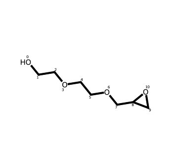 OCCOCCOCC1CO1